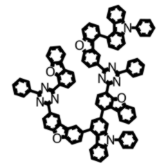 c1ccc(-c2nc(-c3ccc4oc5ccc(-c6cc(-c7ccc(-c8nc(-c9ccccc9)nc(-c9ccc%10oc%11cccc(-c%12cccc%13c%12c%12ccccc%12n%13-c%12ccccc%12)c%11c%10c9)n8)c8oc9ccccc9c78)cc7c6c6ccccc6n7-c6ccccc6)cc5c4c3)nc(-c3cccc4c3oc3ccccc34)n2)cc1